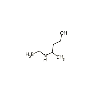 BCNC(C)CCO